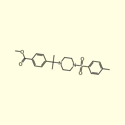 COC(=O)c1ccc(C(C)(C)N2CCN(S(=O)(=O)c3ccc(C)cc3)CC2)cc1